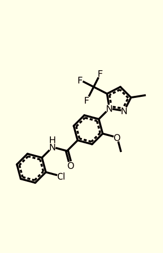 COc1cc(C(=O)Nc2ccccc2Cl)ccc1-n1nc(C)cc1C(F)(F)F